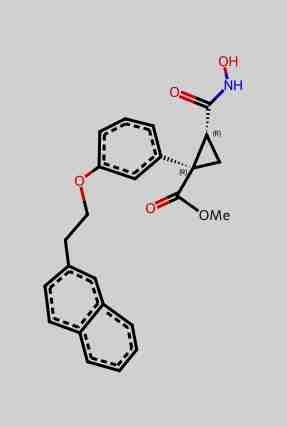 COC(=O)[C@]1(c2cccc(OCCc3ccc4ccccc4c3)c2)C[C@H]1C(=O)NO